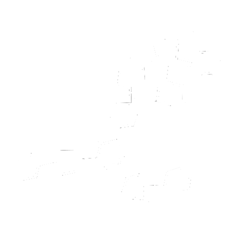 c1ccc(-c2ccc(-c3nc(-c4cccc(-c5ccccc5)c4)nc(-c4ccc5c(c4)oc4cccc(-c6ccccc6-c6cccc7oc8ccccc8c67)c45)n3)cc2)cc1